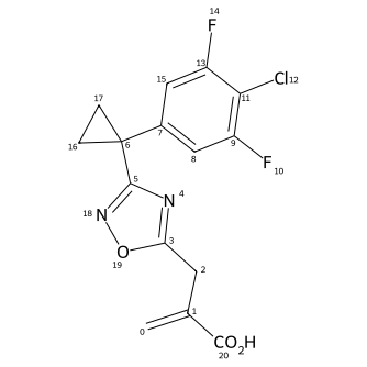 C=C(Cc1nc(C2(c3cc(F)c(Cl)c(F)c3)CC2)no1)C(=O)O